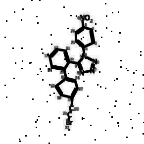 O=[N+]([O-])c1ccc(-n2nnnc2-c2ccccc2-c2ccc(CCBr)cc2)cc1